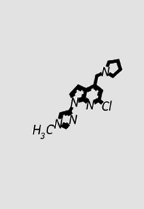 Cn1cnc(-n2ccc3c(CN4CCCC4)cc(Cl)nc32)c1